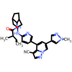 C=CC(C)C(=O)NC1C2CCC1CC(Nc1ccc(-c3cc(-c4cnn(C)c4)cn4ncc(C#N)c34)cn1)C2